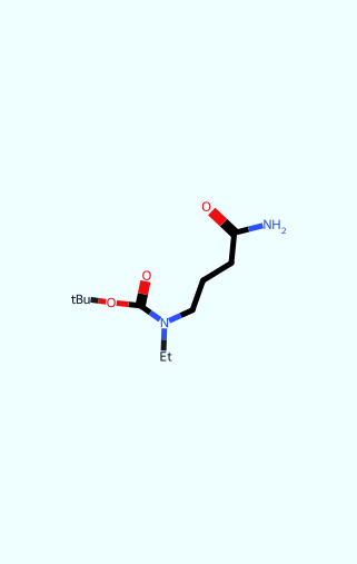 CCN(CCCC(N)=O)C(=O)OC(C)(C)C